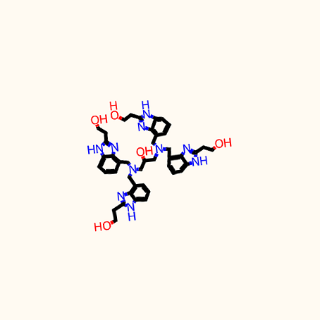 OCCc1nc2c(CN(Cc3cccc4[nH]c(CCO)nc34)CC(O)CN(Cc3cccc4[nH]c(CCO)nc34)Cc3cccc4[nH]c(CCO)nc34)cccc2[nH]1